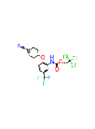 N#CB1CCC(Oc2ccc(C(F)(F)F)cc2NC(=O)OCC(Cl)(Cl)Cl)CC1